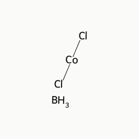 B.[Cl][Co][Cl]